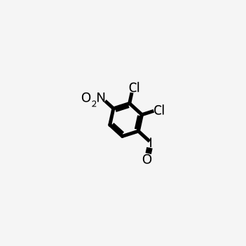 O=Ic1ccc([N+](=O)[O-])c(Cl)c1Cl